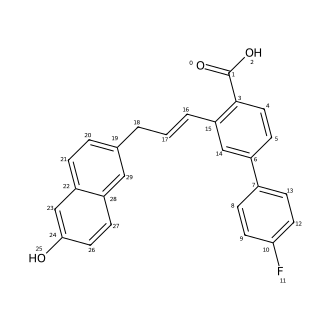 O=C(O)c1ccc(-c2ccc(F)cc2)cc1C=CCc1ccc2cc(O)ccc2c1